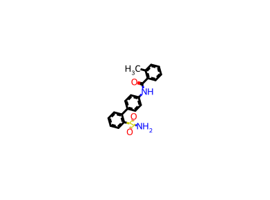 Cc1ccccc1C(=O)Nc1ccc(-c2ccccc2S(N)(=O)=O)cc1